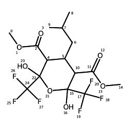 COC(=O)C1C(CC(C)C)C(C(=O)OC)C(O)(C(F)(F)F)OC1(O)C(F)(F)F